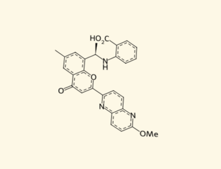 COc1ccc2nc(-c3cc(=O)c4cc(C)cc([C@@H](C)Nc5ccccc5C(=O)O)c4o3)ccc2n1